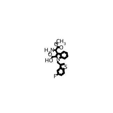 COC(=O)C(N)c1c(C(=O)O)n(Cc2csc3ccc(F)cc23)c2ccccc12